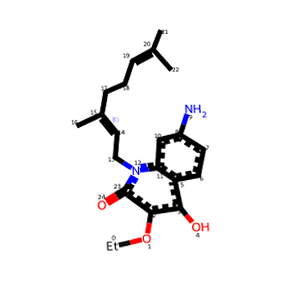 CCOc1c(O)c2ccc(N)cc2n(C/C=C(\C)CCC=C(C)C)c1=O